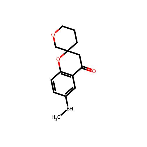 CBc1ccc2c(c1)C(=O)CC1(CCCOC1)O2